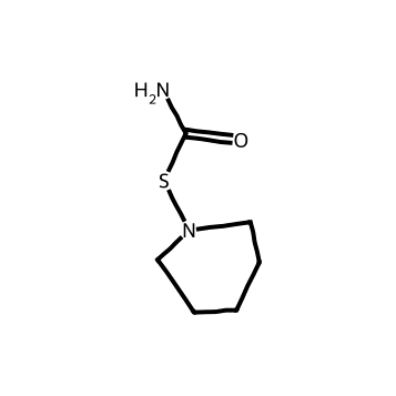 NC(=O)SN1CCCCC1